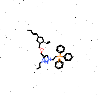 C=C[C@@H]1CC(/C=C/CC)CC1COCc1cn(CC[PH](c2ccccc2)(c2ccccc2)c2ccccc2)n[n+]1CCC